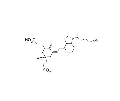 C=C1/C(=C\C=C2CCC[C@@]3(C)C2CC[C@@H]3[C@H](C)CCCC(C)C)C[C@](O)(CCC(=O)O)CC1CCC(=O)O